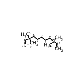 C=C[Si](C)(C)CCCCC[Si](C)(C)C=C